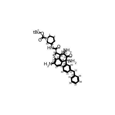 CC(C)(C)OC(=O)N1CCC[C@@H](NC(=O)[C@@H]2Sc3c(N)ccc4c3[C@@H]2[C@@H](N)C(=O)[C@@]4(N)c2cccc(Cc3ccccc3)c2)C1